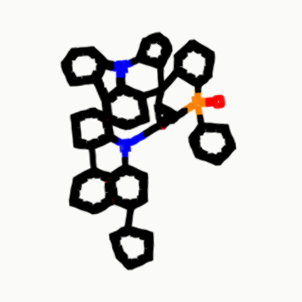 O=P1(c2ccccc2)c2ccccc2C2(c3ccccc3-n3c4ccccc4c4cccc2c43)c2cc(N(c3ccc(-c4ccccc4)cc3)c3ccccc3-c3ccccc3)ccc21